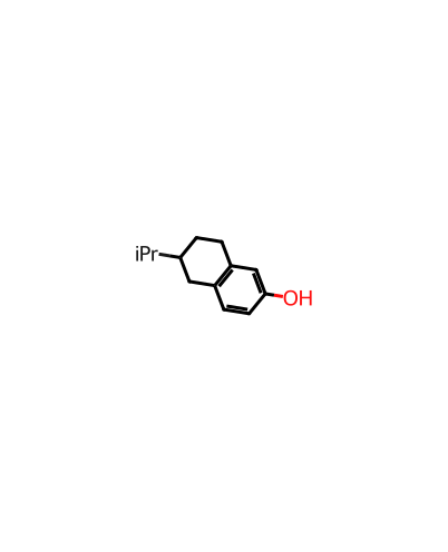 CC(C)C1CCc2cc(O)ccc2C1